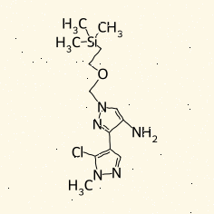 Cn1ncc(-c2nn(COCC[Si](C)(C)C)cc2N)c1Cl